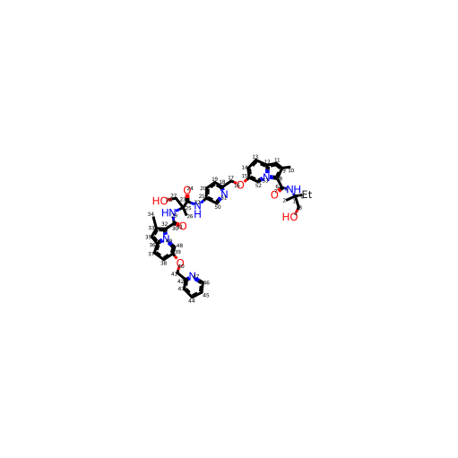 CCC(C)(CO)NC(=O)c1c(C)cc2ccc(OCc3ccc(NC(=O)C(C)(CO)NC(=O)c4c(C)cc5ccc(OCc6ccccn6)cn45)cn3)cn12